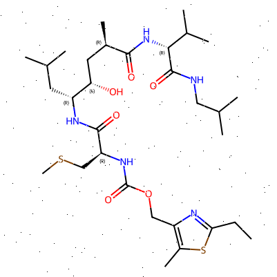 CCc1nc(COC(=O)N[C@@H](CSC)C(=O)N[C@H](CC(C)C)[C@@H](O)C[C@@H](C)C(=O)N[C@@H](C(=O)NCC(C)C)C(C)C)c(C)s1